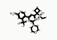 CCS(=O)(=O)C1(c2cc(-c3cnc(N)cc3C(F)(F)F)nc(N3CCOCC3)n2)CCC1